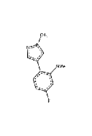 CNc1cc(F)ccc1-c1cnn(C)c1